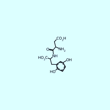 NC(CC(=O)O)C(=O)NC(Cc1cc(O)ccc1O)C(=O)O